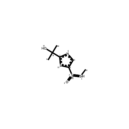 C/[SiH]=[SH](=O)\c1cnc(C(C)(C)O)s1